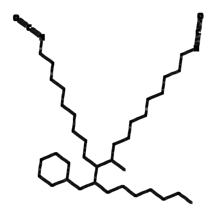 CCCCCCCC(CC1CCCCC1)C(CCCCCCCCCN=C=O)C(C)CCCCCCCCCN=C=O